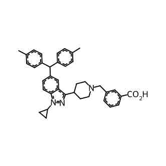 Cc1ccc(C(c2ccc(C)cc2)c2ccc3c(c2)c(C2CCN(Cc4cccc(C(=O)O)c4)CC2)nn3C2CC2)cc1